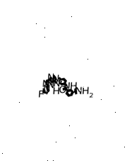 Cc1ccc(NC(=O)c2cccc(C(C)(C)N)c2)cc1Nc1ncnc2cnc(N3CC[C@@H](F)C3)nc12